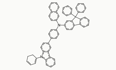 C1=CCCC(n2c3ccccc3c3cc(-c4ccc(N(c5ccc6c(c5)C(c5ccccc5)(c5ccccc5)c5ccccc5-6)c5ccc6ccccc6c5)cc4)ccc32)=C1